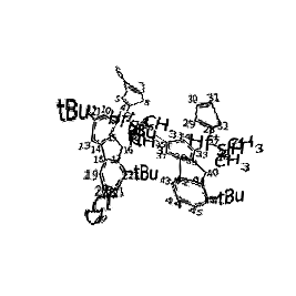 C[SiH](C)[Hf+]([C]1=CC=CC1)[c]1cc(C(C)(C)C)cc2c1Cc1c-2cccc1C(C)(C)C.C[SiH](C)[Hf+]([C]1=CC=CC1)[c]1cc(C(C)(C)C)cc2c1Cc1c-2cccc1C(C)(C)C.[Cl-].[Cl-]